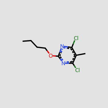 CCCCOc1nc(Cl)c(C)c(Cl)n1